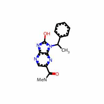 CNC(=O)c1cnc2nc(O)n(C(C)c3ccccc3)c2n1